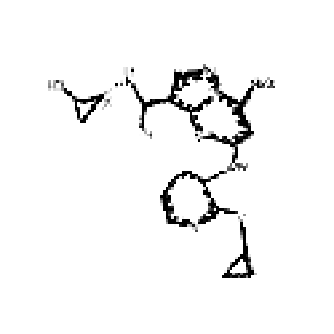 CNc1cc(Nc2cccnc2OC2CC2)nc2c(C(O)N[C@@H]3CC3O)cnn12